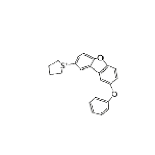 c1ccc(Oc2ccc3oc4ccc([S+]5CCCC5)cc4c3c2)cc1